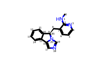 CNc1ncccc1C[C@@H]1c2ccccc2-c2cncn21